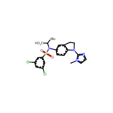 Cn1ccnc1N1CCc2cc(N(C(C(=O)O)C(C)(C)C)S(=O)(=O)c3cc(Cl)cc(Cl)c3)ccc21